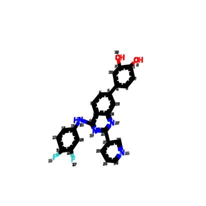 Oc1ccc(-c2ccc3c(Nc4ccc(F)c(F)c4)nc(-c4cccnc4)nc3c2)cc1O